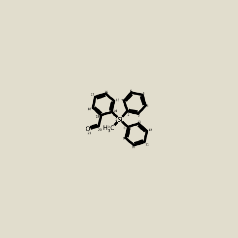 C[Si](c1ccccc1)(c1ccccc1)c1ccccc1C=O